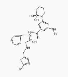 CCNc1cc(C(=O)N[C@@H](Cc2ccccc2)[C@H](O)CNCc2cnc(Br)s2)cc(N2CCCCS2(O)O)c1